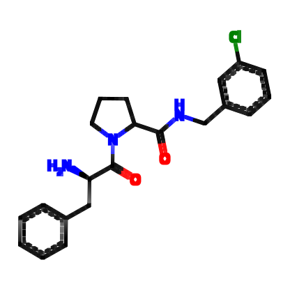 N[C@H](Cc1ccccc1)C(=O)N1CCCC1C(=O)NCc1cccc(Cl)c1